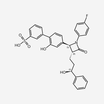 O=C1[C@H](CC[C@H](O)c2ccccc2)[C@@H](c2ccc(-c3cccc(S(=O)(=O)O)c3)c(O)c2)N1c1ccc(F)cc1